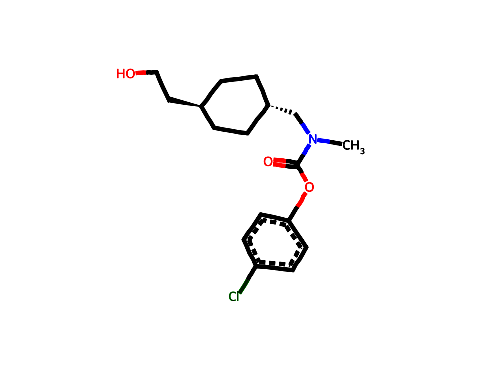 CN(C[C@H]1CC[C@H](CCO)CC1)C(=O)Oc1ccc(Cl)cc1